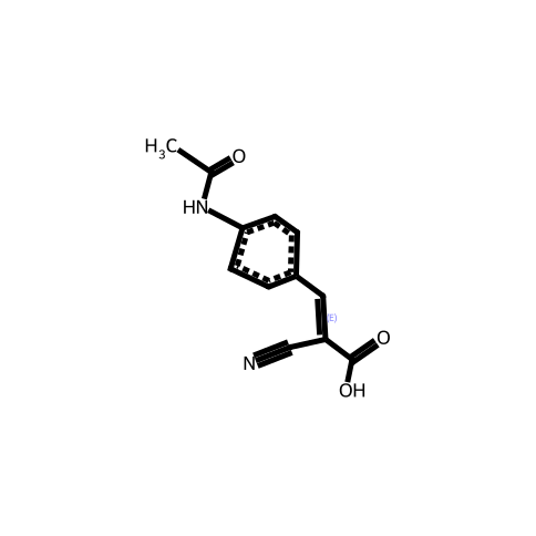 CC(=O)Nc1ccc(/C=C(\C#N)C(=O)O)cc1